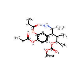 CCCC(C)OC(=O)OC(C)C(C)C(c1ccc(OC(=O)CC(C)CC)c(OC(=O)CC(C)CC)c1)[C@H](N)C(=O)O